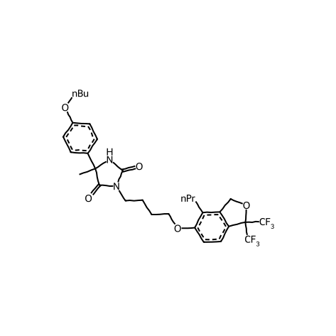 CCCCOc1ccc(C2(C)NC(=O)N(CCCCOc3ccc4c(c3CCC)COC4(C(F)(F)F)C(F)(F)F)C2=O)cc1